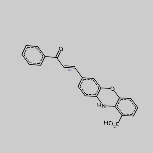 O=C(/C=C/c1ccc2c(c1)Oc1cccc(C(=O)O)c1N2)c1ccccc1